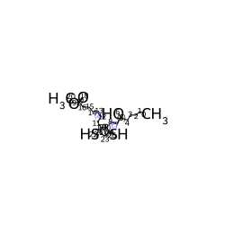 CCCCC[C@H](O)/C=C/[C@@H]1[C@@H](C/C=C\CCCC(=O)OC)[C@@H](S)C[C@H]1S